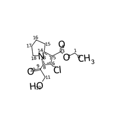 CCOC(=O)c1c(Cl)c(C(=O)CO)n2c1CCCC2